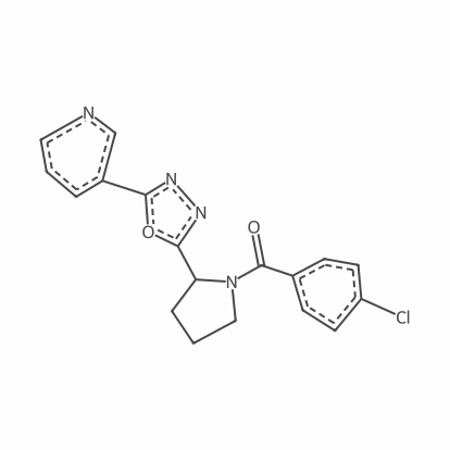 O=C(c1ccc(Cl)cc1)N1CCCC1c1nnc(-c2cccnc2)o1